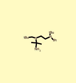 CC(C)N(CCN(CC(C)(C)C)C(C)(C)N)C(C)(C)C